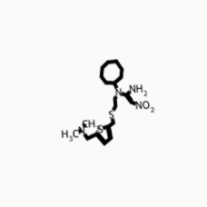 CN(C)Cc1ccc(CSCCN(C(N)=C[N+](=O)[O-])C2CCCCCCC2)s1